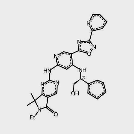 CCN1C(=O)c2cnc(Nc3cc(N[C@H](CO)c4ccccc4)c(-c4nc(-c5ccccn5)no4)cn3)nc2C1(C)C